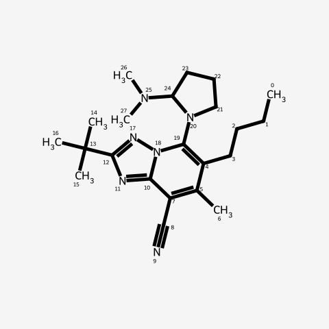 CCCCc1c(C)c(C#N)c2nc(C(C)(C)C)nn2c1N1CCCC1N(C)C